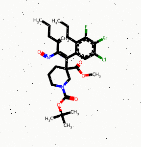 C=C(CCC)/C(N=O)=C(\c1cc(Cl)c(Br)c(F)c1CCC)C1(C(=O)OC)CCCN(C(=O)OC(C)(C)C)C1